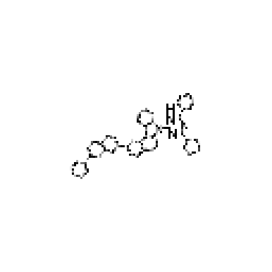 c1ccc(C2=NC(c3ccccc3)NC(n3c4ccccc4c4c5cc(-c6ccc7ccc(-c8ccccc8)cc7c6)ccc5ccc43)=N2)cc1